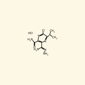 CN(C)c1nc(C(N)=NN)c(C(N)=O)nc1Cl.Cl